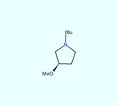 CO[C@@H]1CCN(C(C)(C)C)C1